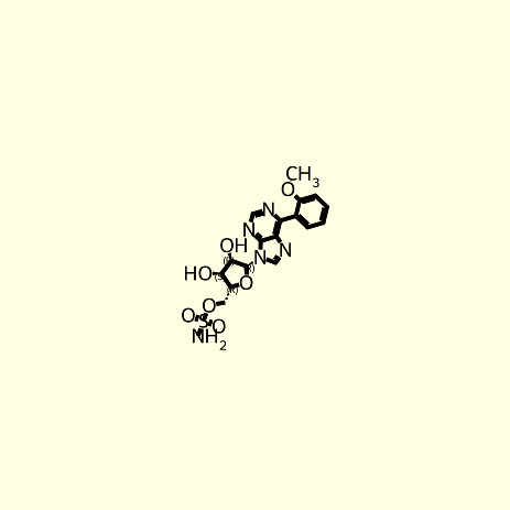 COc1ccccc1-c1ncnc2c1ncn2[C@@H]1O[C@H](COS(N)(=O)=O)[C@@H](O)[C@H]1O